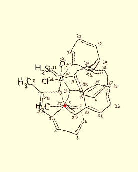 CC1=Cc2ccccc2[CH]1[Zr](=[SiH2])([Cl])([Cl])([c]1ccccc1)([c]1ccccc1)[CH]1C(C)=Cc2ccccc21